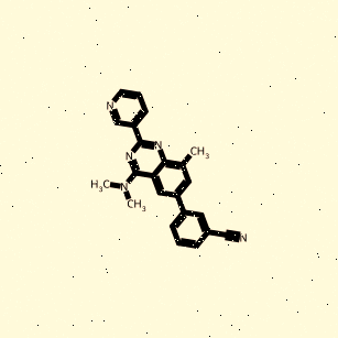 Cc1cc(-c2cccc(C#N)c2)cc2c(N(C)C)nc(-c3cccnc3)nc12